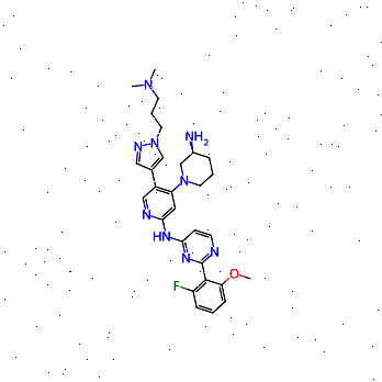 COc1cccc(F)c1-c1nccc(Nc2cc(N3CCC[C@H](N)C3)c(-c3cnn(CCCN(C)C)c3)cn2)n1